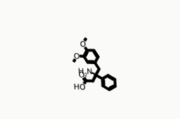 COc1ccc(C[C@@](N)(CC(=O)O)c2ccccc2)cc1OC